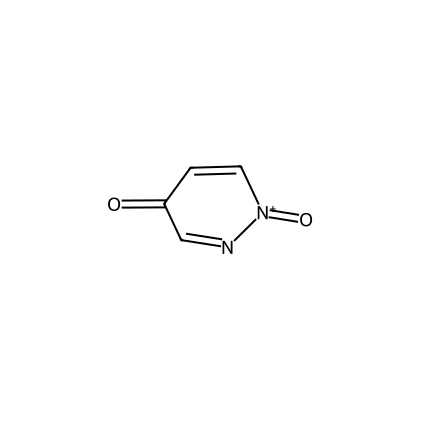 O=C1C=C[N+](=O)N=C1